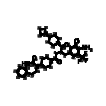 Nc1c(Cl)cc(CC(CC(=O)N2CCC(N3CCc4ccccc4NC3=O)CC2)C(=O)N2CCC(N3CCC3)CC2)cc1C(F)(F)F